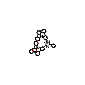 c1ccc(-c2cccc(-c3ccc(-c4nc(-c5ccccc5)nc(-c5ccc(-c6ccccc6)c(-n6c7ccccc7c7ccccc76)c5)n4)cc3-n3c4ccccc4c4ccccc43)c2)cc1